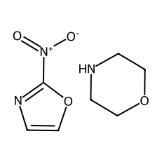 C1COCCN1.O=[N+]([O-])c1ncco1